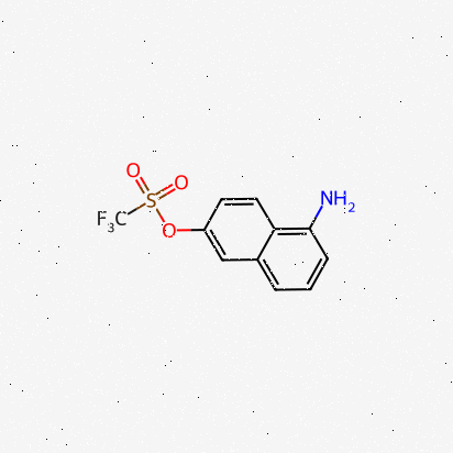 Nc1cccc2cc(OS(=O)(=O)C(F)(F)F)ccc12